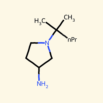 CCCC(C)(C)N1CCC(N)C1